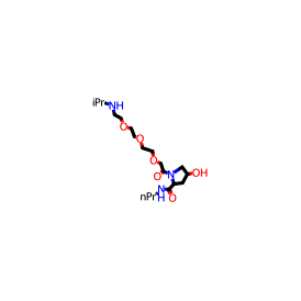 CCCNC(=O)C1CC(O)CN1C(=O)COCCOCCOCCNC(C)C